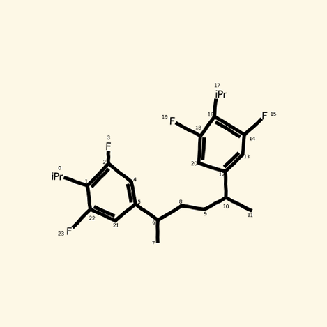 CC(C)c1c(F)cc(C(C)CCC(C)c2cc(F)c(C(C)C)c(F)c2)cc1F